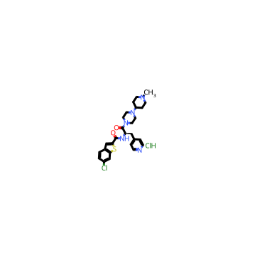 CN1CCC(N2CCN(C(=O)[C@@H](Cc3ccncc3)NC(=O)c3cc4ccc(Cl)cc4s3)CC2)CC1.Cl